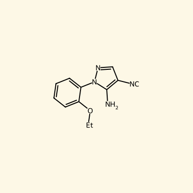 [C-]#[N+]c1cnn(-c2ccccc2OCC)c1N